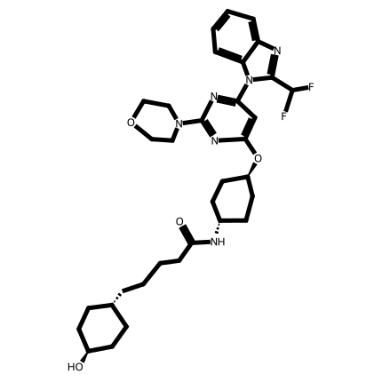 O=C(CCCC[C@H]1CC[C@H](O)CC1)N[C@H]1CC[C@H](Oc2cc(-n3c(C(F)F)nc4ccccc43)nc(N3CCOCC3)n2)CC1